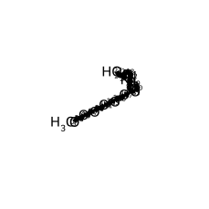 COCCOCCOCCOCCOCCOC[C@H]1CN(c2nccc(CO)n2)CCO1